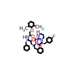 Cc1cccc(C)c1OCC(=O)N[C@@H](Cc1ccccc1)[C@@H](O)C[C@H](Cc1ccccc1)NC(=O)[C@H](Cc1ccc(F)cc1)N1CCCNC1=O